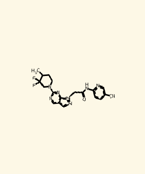 CC1CCN(c2ncc3cnn(CC(=O)Nc4ccc(C#N)cn4)c3n2)CC1(F)F